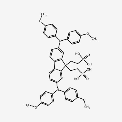 COc1ccc(N(c2ccc(OC)cc2)c2ccc3c(c2)C(CCP(=O)(O)O)(CCP(=O)(O)O)c2cc(N(c4ccc(OC)cc4)c4ccc(OC)cc4)ccc2-3)cc1